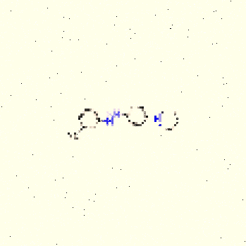 N#Cc1cccc(/N=N/c2ccc(N3CCCCC3)cc2)c1